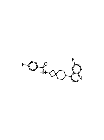 O=C(NC1CC2(CCC(c3ccnc4ccc(F)cc34)CC2)C1)c1ccc(F)cc1